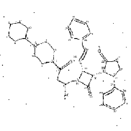 CC(=O)[C@H](CC(=O)N1CCN(C2CCCCC2)CC1)N1C(=O)[C@@H](N2C(=O)OC[C@@H]2c2ccccc2)[C@H]1/C=C/c1ccccc1